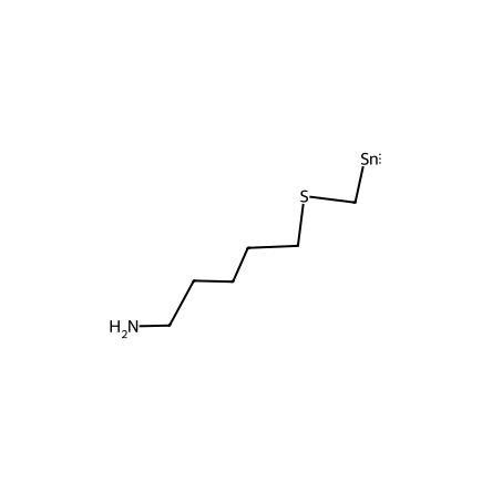 NCCCCCS[CH2][Sn]